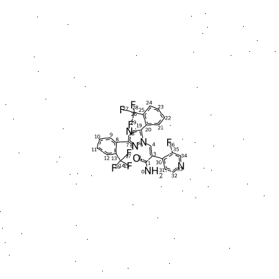 NC(=O)C(=Cn1nc(-c2ccccc2C(F)(F)F)nc1-c1ccccc1C(F)(F)F)c1ccncc1F